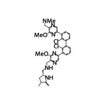 C=C1N[C@H](CNCc2ncc(-c3cccc(-c4cccc(-c5cnc(CNC)c(OC)n5)c4Cl)c3Cl)nc2OC)CC1C